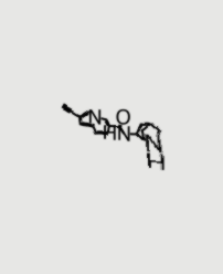 C#Cc1cc2ccc(C(=O)NC3CC4CNC3C4)cn2c1